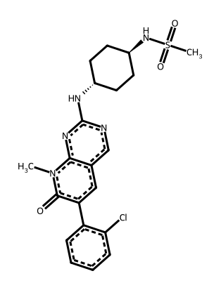 Cn1c(=O)c(-c2ccccc2Cl)cc2cnc(N[C@H]3CC[C@H](NS(C)(=O)=O)CC3)nc21